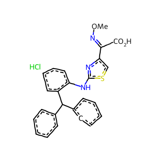 CON=C(C(=O)O)c1csc(Nc2ccccc2C(c2ccccc2)c2ccccc2)n1.Cl